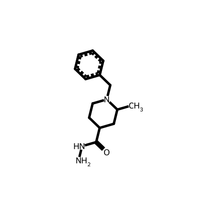 CC1CC(C(=O)NN)CCN1Cc1ccccc1